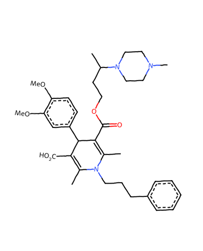 COc1ccc(C2C(C(=O)O)=C(C)N(CCCc3ccccc3)C(C)=C2C(=O)OCCC(C)N2CCN(C)CC2)cc1OC